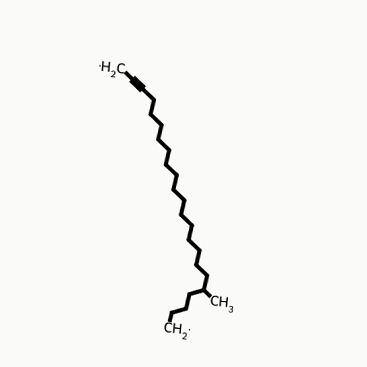 [CH2]C#CCCCCCCCCCCCCCCCC(C)CCC[CH2]